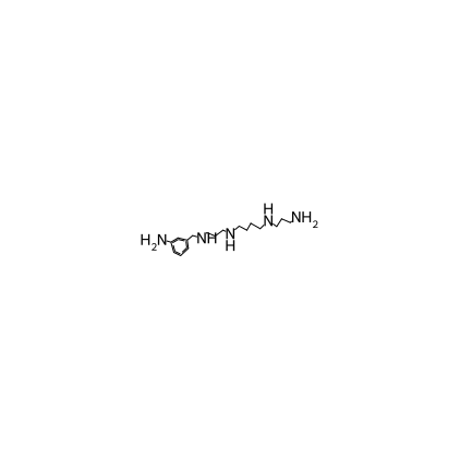 NCCCNCCCCNCCCNCc1cccc(N)c1